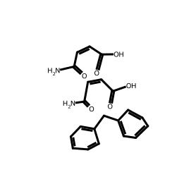 NC(=O)/C=C\C(=O)O.NC(=O)/C=C\C(=O)O.c1ccc(Cc2ccccc2)cc1